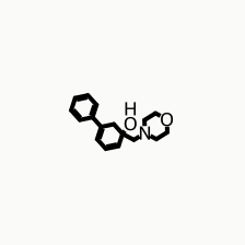 OC1(CN2CCOCC2)C=CC=C(c2ccccc2)C1